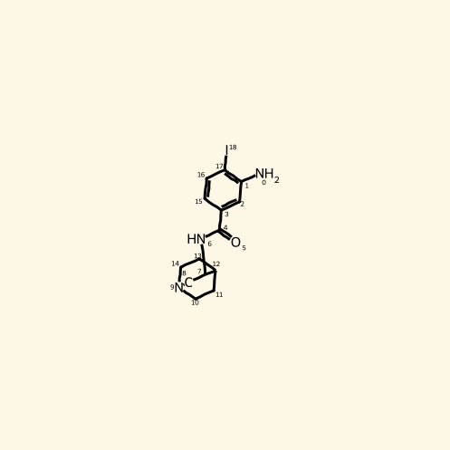 Nc1cc(C(=O)NC2CN3CCC2CC3)ccc1I